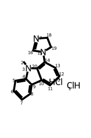 Cl.Cl.Cn1c2ccccc2c2cccc(N3C=NCC3)c21